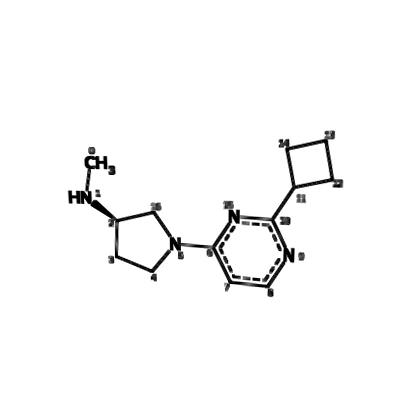 CN[C@@H]1CCN(c2ccnc(C3CCC3)n2)C1